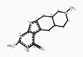 CN1CCC2Cc3c(sc4nc(C(=O)O)[nH]c(=O)c34)CC2C1